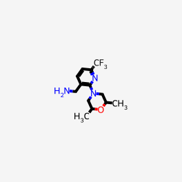 CC1CN(c2nc(C(F)(F)F)ccc2CN)CC(C)O1